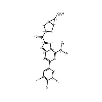 CCCN(c1cc(-c2cc(F)c(Cl)c(F)c2)nc2cc(C(=O)N3CC4C(C3)C4C(=O)O)nn12)C(C)C